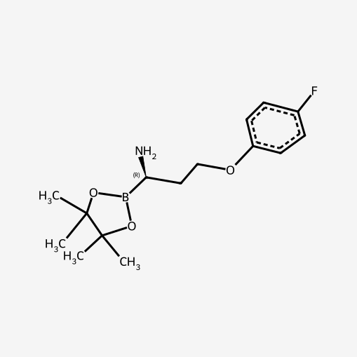 CC1(C)OB([C@@H](N)CCOc2ccc(F)cc2)OC1(C)C